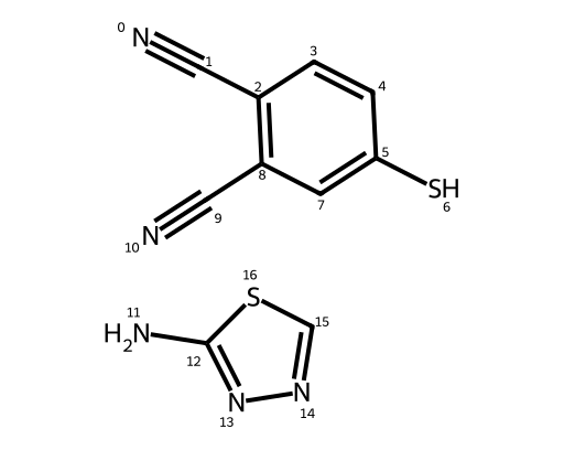 N#Cc1ccc(S)cc1C#N.Nc1nncs1